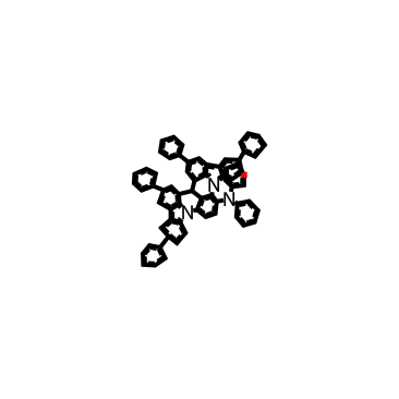 c1ccc(-c2ccc3c(c2)c2cc(-c4ccccc4)cc4c2n3-c2ccc(N(c3ccccc3)c3ccccc3)c3c2C4c2cc(-c4ccccc4)cc4c5cc(-c6ccccc6)ccc5n-3c24)cc1